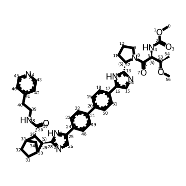 COC(=O)N[C@H](C(=O)N1CCC[C@H]1c1ncc(-c2ccc(-c3ccc(-c4cnc([C@H]5C6CCC(C6)[C@@H]5C(=O)NCCc5ccncc5)[nH]4)cc3)cc2)[nH]1)[C@@H](C)OC